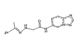 C/C(=N\NCC(=O)Nc1ccc2ncnn2c1)C(C)C